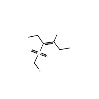 CC/C(Br)=C(/CC)S(=O)(=O)CBr